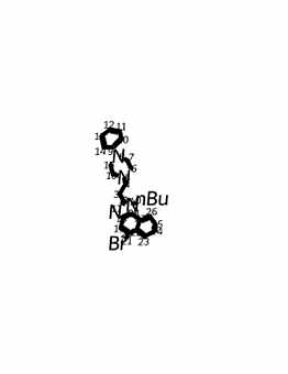 CCCCn1c(CCN2CCN(c3ccccc3)CC2)nc2cc(Br)c3ccccc3c21